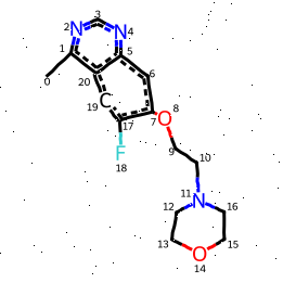 Cc1ncnc2cc(OCCN3CCOCC3)c(F)cc12